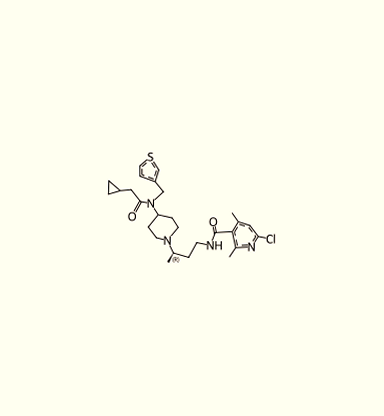 Cc1cc(Cl)nc(C)c1C(=O)NCC[C@@H](C)N1CCC(N(Cc2ccsc2)C(=O)CC2CC2)CC1